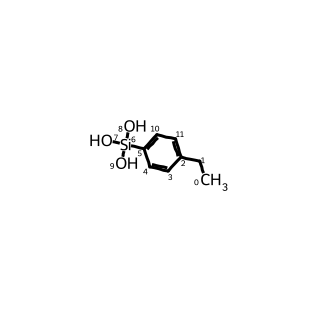 CCc1ccc([Si](O)(O)O)cc1